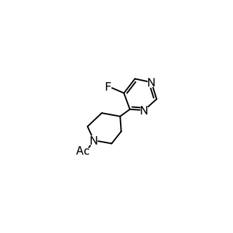 CC(=O)N1CCC(c2ncncc2F)CC1